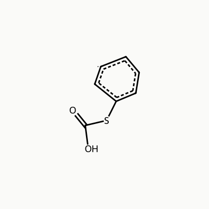 O=C(O)Sc1c[c]ccc1